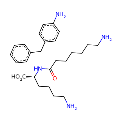 NCCCCCCC(=O)N[C@@H](CCCCN)C(=O)O.Nc1ccc(Cc2ccccc2)cc1